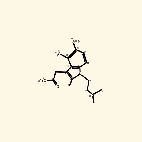 COC(=O)Cc1c(C)n(CCN(C)C)c2ccc(OC)c(C(F)(F)F)c12